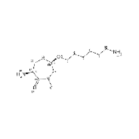 CN1C[C@H](OCCCCCCN)CC[C@H](N)C1=O